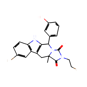 CC12Cc3c([nH]c4ccc(Br)cc34)C(c3cccc(O)c3)N1C(=O)N(CCBr)C2=O